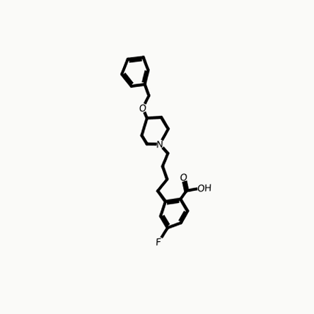 O=C(O)c1ccc(F)cc1CCCCN1CCC(OCc2ccccc2)CC1